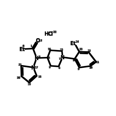 CCC(=O)N(C1CCN(c2ccccc2CC)CC1)n1cccc1.Cl